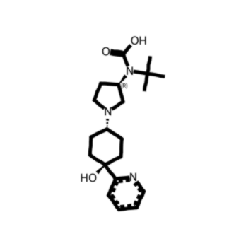 CC(C)(C)N(C(=O)O)[C@@H]1CCN([C@H]2CC[C@@](O)(c3ccccn3)CC2)C1